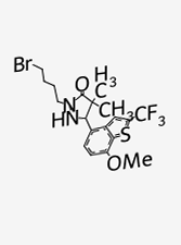 COc1ccc(C2NN(CCCCBr)C(=O)C2(C)C)c2cc(C(F)(F)F)sc12